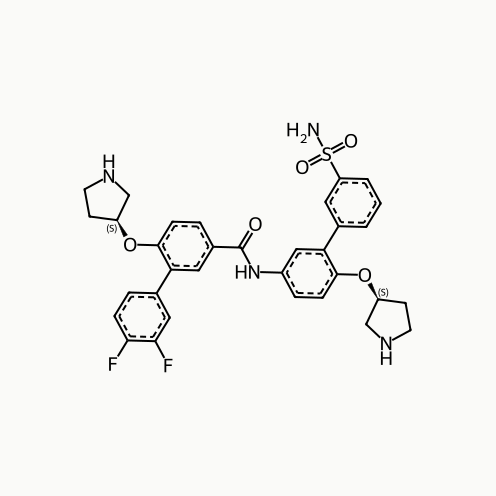 NS(=O)(=O)c1cccc(-c2cc(NC(=O)c3ccc(O[C@H]4CCNC4)c(-c4ccc(F)c(F)c4)c3)ccc2O[C@H]2CCNC2)c1